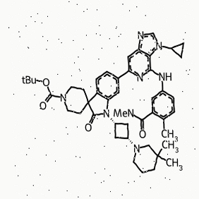 CNC(=O)c1cc(Nc2nc(-c3ccc4c(c3)N([C@H]3C[C@@H](N5CCCC(C)(C)C5)C3)C(=O)C43CCN(C(=O)OC(C)(C)C)CC3)cc3ncn(C4CC4)c23)ccc1C